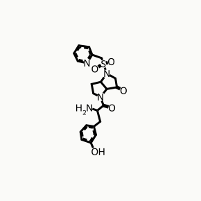 NC(Cc1cccc(O)c1)C(=O)N1CCC2C1C(=O)CN2S(=O)(=O)Cc1ccccn1